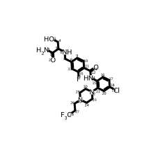 NC(=O)C(CO)NCc1ccc(C(=O)Nc2ccc(Cl)cc2N2CCN(CCC(F)(F)F)CC2)c(F)c1